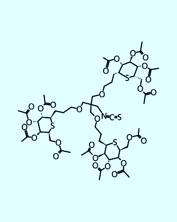 CC(=O)OC[C@@H]1S[C@H](CCCOCC(CN=C=S)(COCCC[C@H]2S[C@@H](COC(C)=O)[C@@H](OC(C)=O)[C@H](OC(C)=O)[C@H]2OC(C)=O)COCCC[C@H]2S[C@@H](COC(C)=O)[C@@H](OC(C)=O)[C@H](OC(C)=O)[C@@H]2OC(C)=O)[C@H](OC(C)=O)[C@@H](OC(C)=O)[C@@H]1OC(C)=O